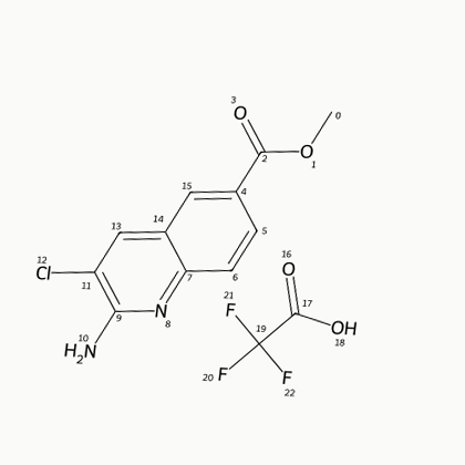 COC(=O)c1ccc2nc(N)c(Cl)cc2c1.O=C(O)C(F)(F)F